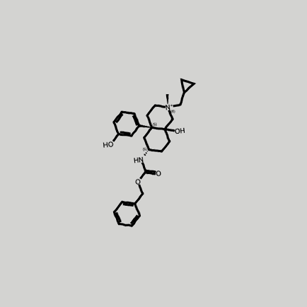 C[N@+]1(CC2CC2)CC[C@@]2(c3cccc(O)c3)C[C@@H](NC(=O)OCc3ccccc3)CCC2(O)C1